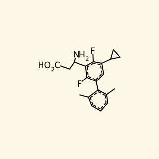 Cc1cccc(C)c1-c1cc(C2CC2)c(F)c(C(N)CC(=O)O)c1F